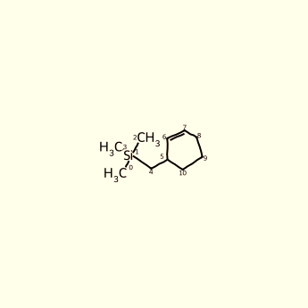 C[Si](C)(C)CC1C=CCCC1